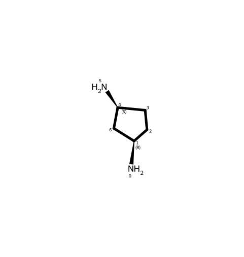 N[C@@H]1CC[C@H](N)C1